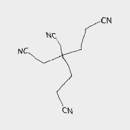 N#CCCC(C#N)(CC#N)CCC#N